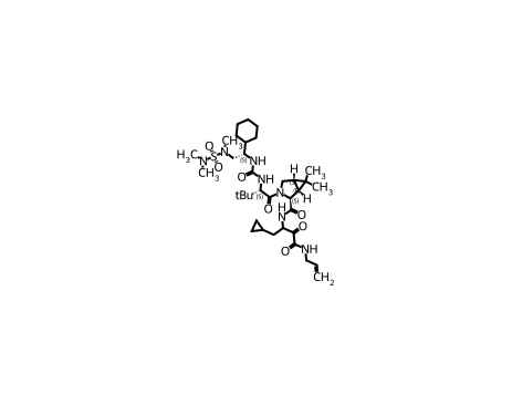 C=CCNC(=O)C(=O)C(CC1CC1)NC(=O)[C@@H]1[C@@H]2[C@H](CN1C(=O)[C@@H](NC(=O)N[C@H](CN(C)S(=O)(=O)N(C)C)C1CCCCC1)C(C)(C)C)C2(C)C